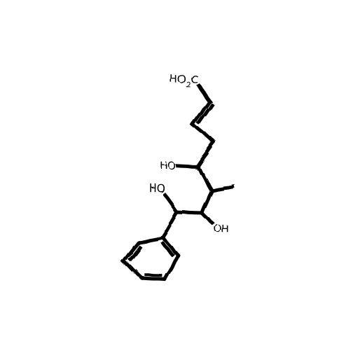 CC(C(O)C/C=C/C(=O)O)C(O)C(O)c1ccccc1